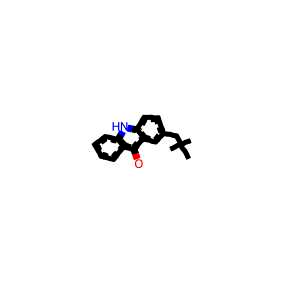 CC(C)(C)Cc1ccc2[nH]c3ccccc3c(=O)c2c1